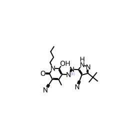 CCCCn1c(O)c(/N=N/c2[nH]nc(C(C)(C)C)c2C#N)c(C)c(C#N)c1=O